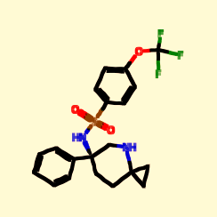 O=S(=O)(N[C@]1(c2ccccc2)CCC2(CC2)NC1)c1ccc(OC(F)(F)F)cc1